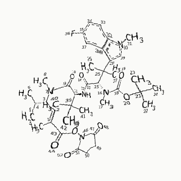 C/C(=C\[C@H](C(C)C)N(C)C(=O)[C@@H](NC(=O)[C@@H](N(C)C(=O)OC(C)(C)C)C(C)(C)c1cn(C)c2ccc(F)cc12)C(C)(C)C)C(=O)ON1C(=O)CCC1=O